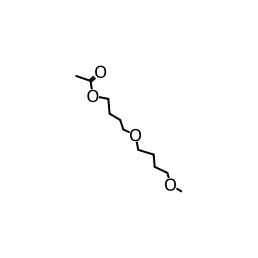 COCCCCOCCCCOC(C)=O